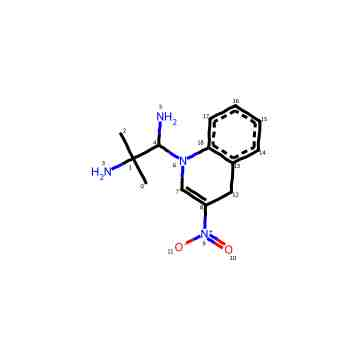 CC(C)(N)C(N)N1C=C([N+](=O)[O-])Cc2ccccc21